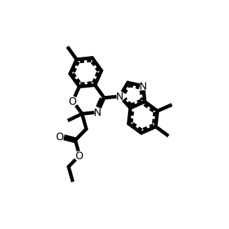 CCOC(=O)CC1(C)N=C(n2cnc3c(C)c(C)ccc32)c2ccc(C)cc2O1